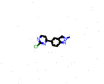 Cn1cc2cc(-c3ccnc(Cl)n3)ccc2n1